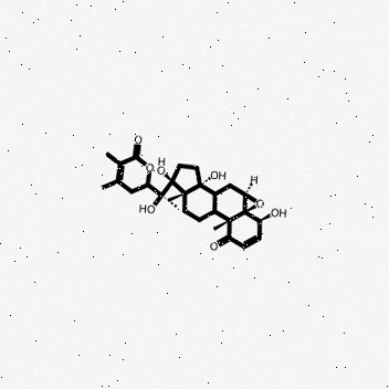 CC1=C(C)C(=O)OC([C@](C)(O)[C@]2(O)CC[C@@]3(O)C4C[C@H]5O[C@]56[C@@H](O)C=CC(=O)[C@]6(C)C4CC[C@]23C)C1